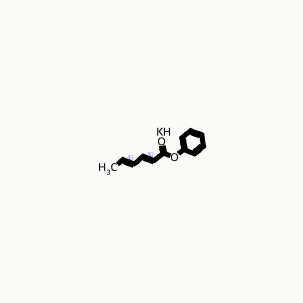 C/C=C/C=C/C(=O)Oc1ccccc1.[KH]